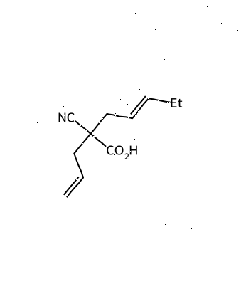 C=CCC(C#N)(CC=CCC)C(=O)O